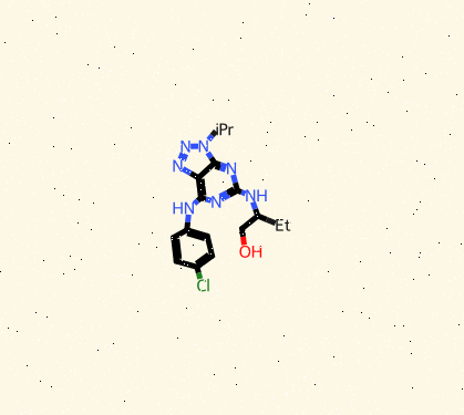 CCC(CO)Nc1nc(Nc2ccc(Cl)cc2)c2nnn(C(C)C)c2n1